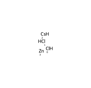 Cl.Cl.[CsH].[Zn]